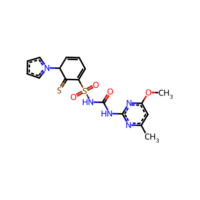 COc1cc(C)nc(NC(=O)NS(=O)(=O)C2=CC=CC(n3cccc3)C2=S)n1